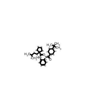 CC(C)CCC1(C(=O)Nc2ccccc2SC(=O)C2CCC(C(C)(C)C)CC2)CCCC1